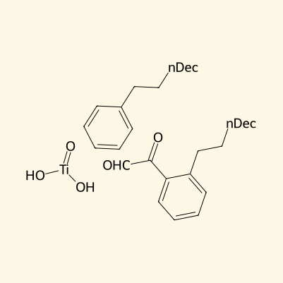 CCCCCCCCCCCCc1ccccc1.CCCCCCCCCCCCc1ccccc1C(=O)C=O.[O]=[Ti]([OH])[OH]